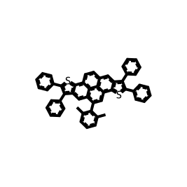 Cc1cccc(C)c1-c1cc2c3sc(-c4ccccc4)c(-c4ccccc4)c3cc3ccc4c5sc(-c6ccccc6)c(-c6ccccc6)c5cc1c4c32